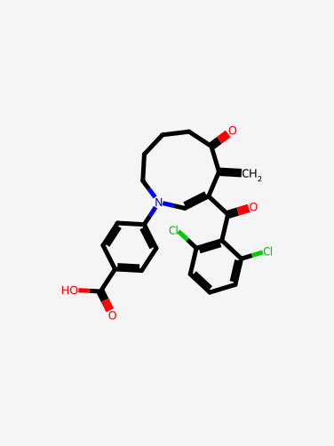 C=C1C(=O)CCCCN(c2ccc(C(=O)O)cc2)/C=C\1C(=O)c1c(Cl)cccc1Cl